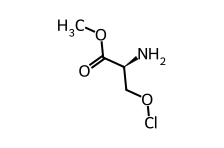 COC(=O)[C@@H](N)COCl